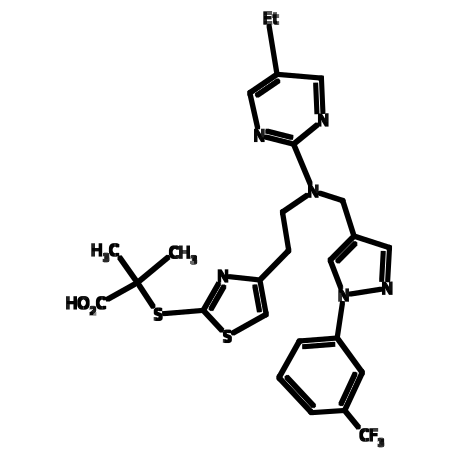 CCc1cnc(N(CCc2csc(SC(C)(C)C(=O)O)n2)Cc2cnn(-c3cccc(C(F)(F)F)c3)c2)nc1